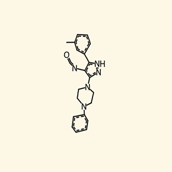 Cc1cccc(-c2[nH]nc(N3CCN(c4ccccc4)CC3)c2N=C=O)c1